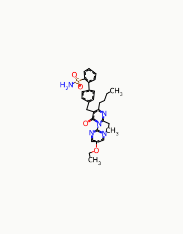 CCCCc1nc(CC)n(-c2ncc(OCC)cn2)c(=O)c1Cc1ccc(-c2ccccc2S(N)(=O)=O)cc1